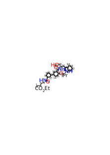 CCOC(=O)CCCCNC(=O)c1cccc(-c2ccc(OC(C)C)c(C(=O)N[C@@H](CO)Cc3c[nH]c4ccccc34)c2)c1